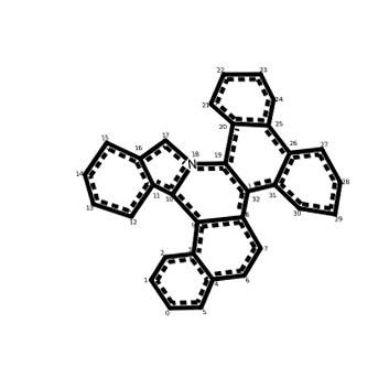 c1ccc2c(c1)ccc1c2c2c3ccccc3cn2c2c3ccccc3c3ccccc3c12